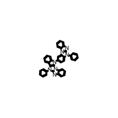 c1ccc(-n2c3ccc(-n4c5ccccc5c5c4n4c6ccccc6nc4n5-c4ccccc4)cc3n3c4ccccc4nc23)cc1